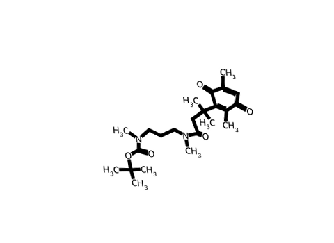 CC1=CC(=O)C(C)=C(C(C)(C)CC(=O)N(C)CCCN(C)C(=O)OC(C)(C)C)C1=O